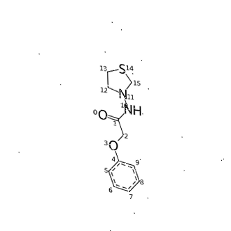 O=C(COc1ccccc1)NN1CCSC1